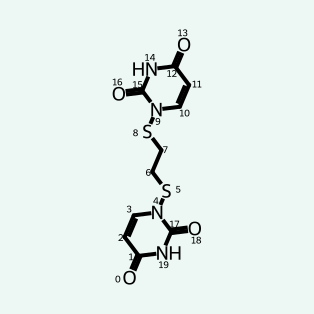 O=c1ccn(SCCSn2ccc(=O)[nH]c2=O)c(=O)[nH]1